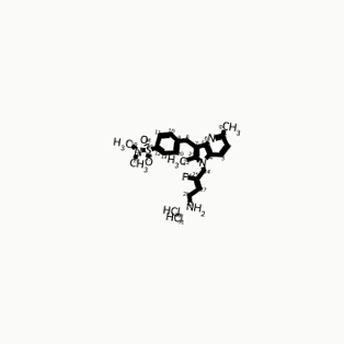 Cc1ccc2c(n1)c(Cc1ccc(S(=O)(=O)N(C)C)cc1)c(C)n2C/C(F)=C/CN.Cl.Cl